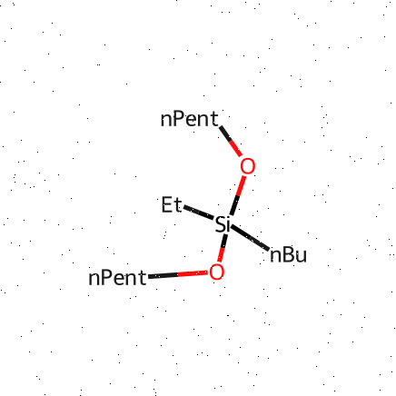 CCCCCO[Si](CC)(CCCC)OCCCCC